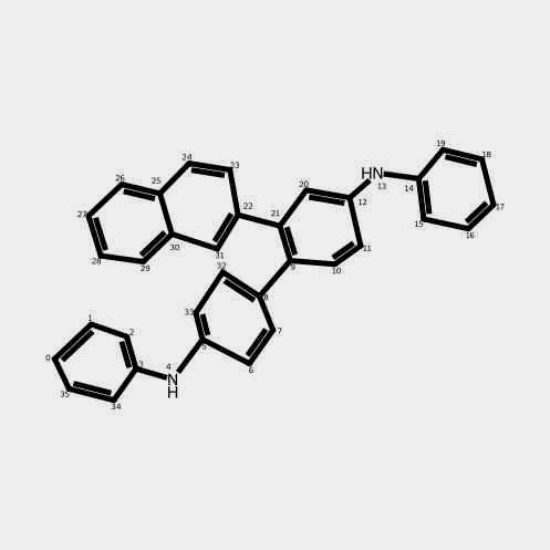 c1ccc(Nc2ccc(-c3ccc(Nc4ccccc4)cc3-c3ccc4ccccc4c3)cc2)cc1